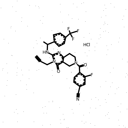 C#CCn1c(NC(C)c2ccc(C(F)(F)F)cc2)nc2c(c1=O)CN(C(=O)c1ccc(C#N)cc1F)CC2.Cl